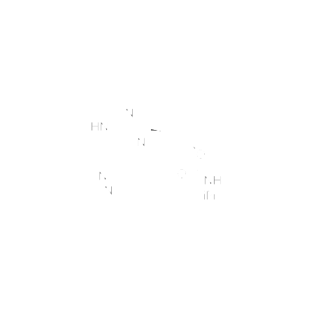 CC(C)NC(=O)O[C@@H]1CC[C@H](c2cnc3[nH]cc(-c4ccnn4C)c3n2)C1